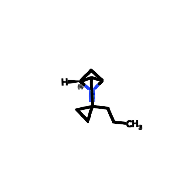 CCCC1(C2C3C[C@H]2N3)CC1